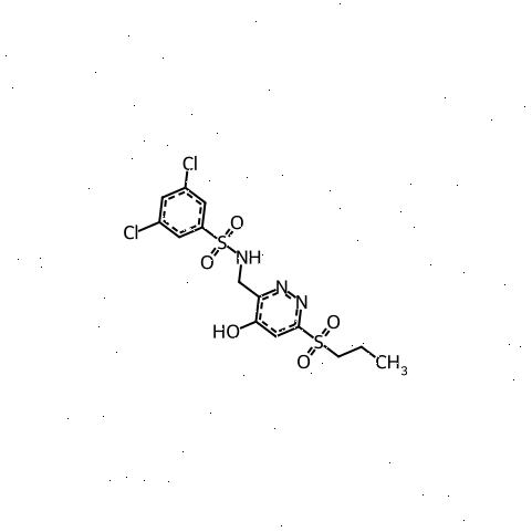 CCCS(=O)(=O)c1cc(O)c(CNS(=O)(=O)c2cc(Cl)cc(Cl)c2)nn1